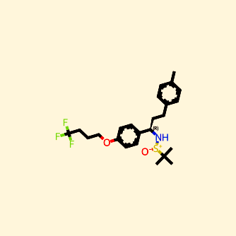 Cc1ccc(CC[C@@H](N[S+]([O-])C(C)(C)C)c2ccc(OCCCC(F)(F)F)cc2)cc1